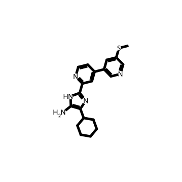 CSc1cncc(-c2ccnc(-c3nc(C4CCCCC4)c(N)[nH]3)c2)c1